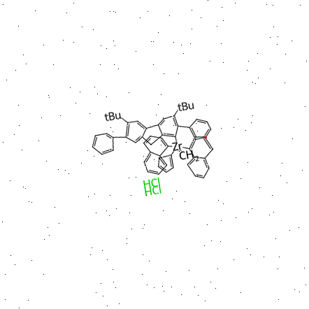 Cl.Cl.[CH2]=[Zr]([C]1=CC=CC1)([c]1c2c(cc(C(C)(C)C)c1-c1ccccc1)-c1cc(C(C)(C)C)c(-c3ccccc3)cc1C2)([c]1cccc2ccccc12)[c]1cccc2ccccc12